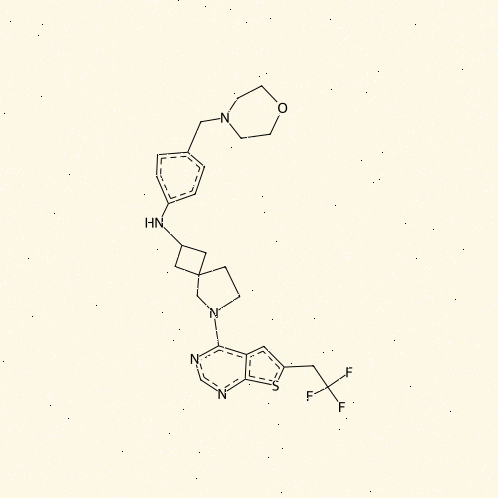 FC(F)(F)Cc1cc2c(N3CCC4(CC(Nc5ccc(CN6CCOCC6)cc5)C4)C3)ncnc2s1